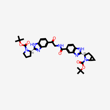 CC(C)(C)OC(=O)N1CCC[C@H]1c1nc2cc(C(=O)CNC(=O)c3ccc4[nH]c([C@@H]5CC6CC6N5C(=O)OC(C)(C)C)nc4c3)ccc2[nH]1